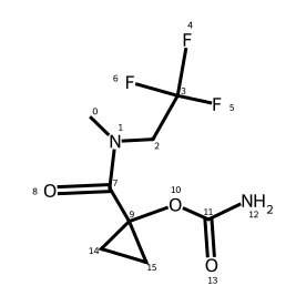 CN(CC(F)(F)F)C(=O)C1(OC(N)=O)CC1